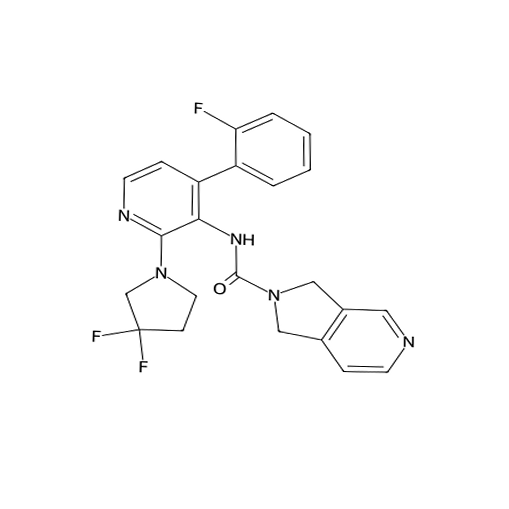 O=C(Nc1c(-c2ccccc2F)ccnc1N1CCC(F)(F)C1)N1Cc2ccncc2C1